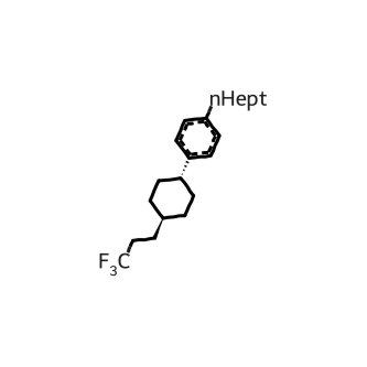 CCCCCCCc1ccc([C@H]2CC[C@H](CCC(F)(F)F)CC2)cc1